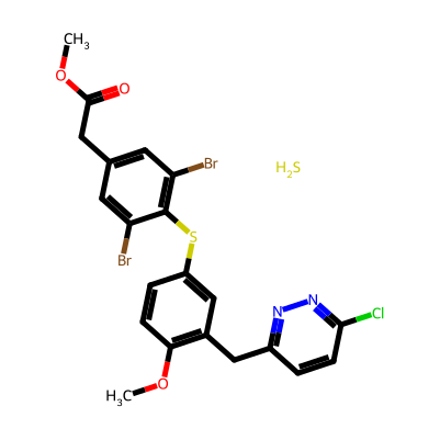 COC(=O)Cc1cc(Br)c(Sc2ccc(OC)c(Cc3ccc(Cl)nn3)c2)c(Br)c1.S